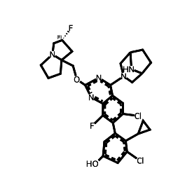 Oc1cc(Cl)c(C2CC2)c(-c2c(Cl)cc3c(N4CC5CCC(C4)N5)nc(OCC45CCCN4C[C@H](F)C5)nc3c2F)c1